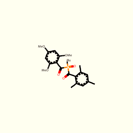 CCC(C)P(=O)(C(=O)c1c(C)cc(C)cc1C)C(=O)c1c(OC)cc(OC)cc1OC